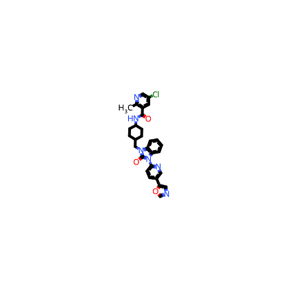 Cc1ncc(Cl)cc1C(=O)NC1CCC(Cn2c(=O)n(-c3ccc(-c4cnco4)cn3)c3ccccc32)CC1